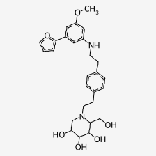 COc1cc(NCCc2ccc(CCN3CC(O)C(O)C(O)C3CO)cc2)cc(-c2ccco2)c1